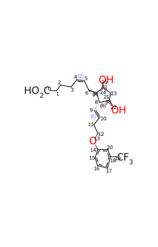 O=C(O)CCC/C=C\C[C@@H]1[C@@H](/C=C/CCOc2cccc(C(F)(F)F)c2)[C@H](O)C[C@@H]1O